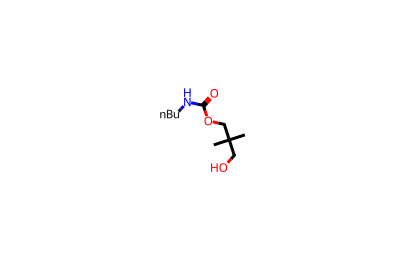 CCCCNC(=O)OCC(C)(C)CO